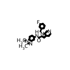 Cc1nc2cc(NC(=O)c3cc4ccncc4n3Cc3cccc(F)c3)ccc2n1C